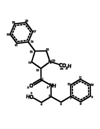 O=C(NC(CO)Cc1ccccc1)C1CC(c2ccccc2)CN1C(=O)O